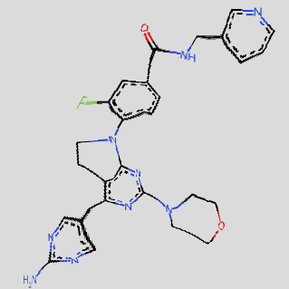 Nc1ncc(-c2nc(N3CCOCC3)nc3c2CCN3c2ccc(C(=O)NCc3cccnc3)cc2F)cn1